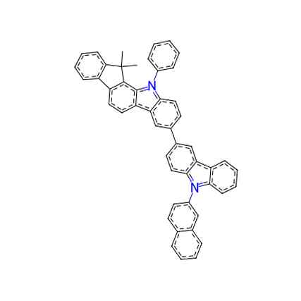 CC1(C)c2ccccc2-c2ccc3c4cc(-c5ccc6c(c5)c5ccccc5n6-c5ccc6ccccc6c5)ccc4n(-c4ccccc4)c3c21